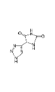 O=C1NC(=O)C(c2c[nH]nn2)N1